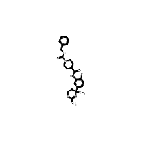 CC1(c2ccc(F)c(NC(=O)C3CCN(C(=O)OCc4ccccc4)CC3)c2)CCSC(N)=N1